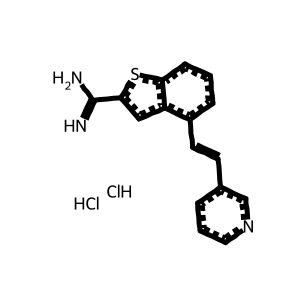 Cl.Cl.N=C(N)c1cc2c(C=Cc3cccnc3)cccc2s1